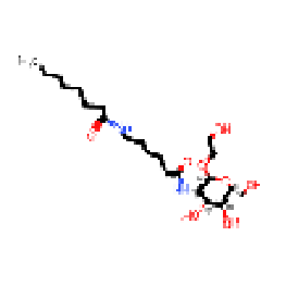 CCCCCCCC(=O)NCCCCCC(=O)N[C@@H]1[C@@H](OCCO)O[C@H](CO)[C@@H](O)[C@@H]1O